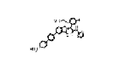 COCOc1ccc(F)cc1C(C(=O)Nc1nccs1)N1Cc2ccc(-c3ccc(N4CCN(C(=O)O)CC4)cc3)cc2C1=O